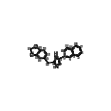 c1ccc2cc(-c3cnc(Cc4ccc5c(c4)OCO5)[nH]3)ccc2c1